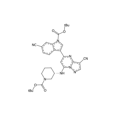 CC(C)(C)OC(=O)N1CCC[C@H](Nc2cc(-c3cn(C(=O)OC(C)(C)C)c4cc(C#N)ccc34)nc3c(C#N)cnn23)C1